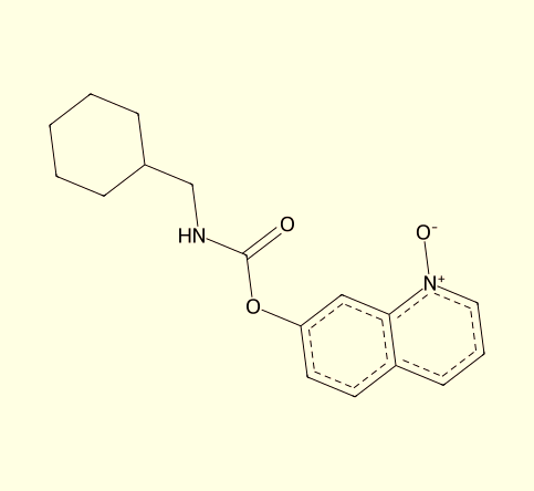 O=C(NCC1CCCCC1)Oc1ccc2ccc[n+]([O-])c2c1